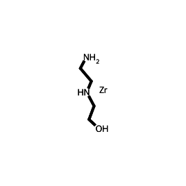 NCCNCCO.[Zr]